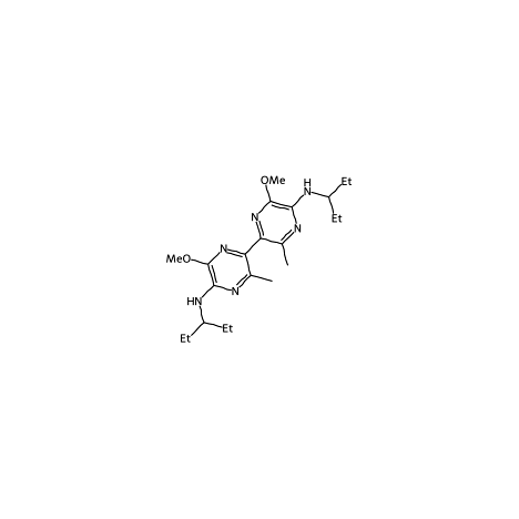 CCC(CC)Nc1nc(C)c(-c2nc(OC)c(NC(CC)CC)nc2C)nc1OC